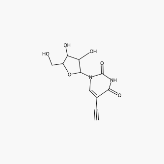 C#Cc1cn(C2OC(CO)C(O)C2O)c(=O)[nH]c1=O